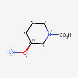 NO[C@H]1CCCN(C(=O)O)C1